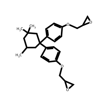 CC1CC(C)(C)CC(c2ccc(OCC3CO3)cc2)(c2ccc(OCC3CO3)cc2)C1